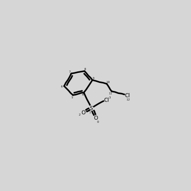 O=S(=O)(Cl)c1ccccc1CCCl